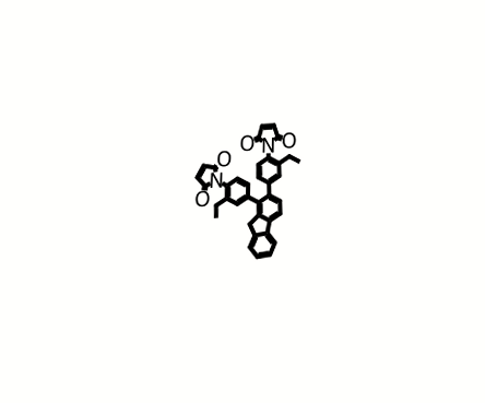 CCc1cc(-c2ccc3c(c2-c2ccc(N4C(=O)C=CC4=O)c(CC)c2)Cc2ccccc2-3)ccc1N1C(=O)C=CC1=O